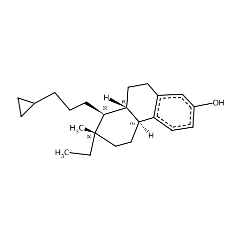 CC[C@@]1(C)CC[C@@H]2c3ccc(O)cc3CC[C@H]2[C@@H]1CCCC1CC1